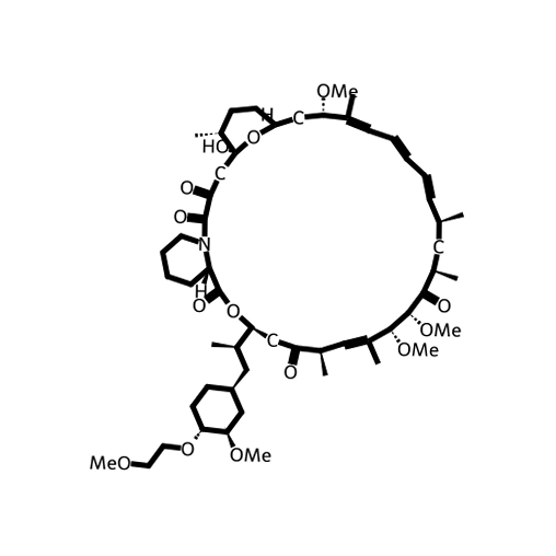 COCCO[C@@H]1CC[C@@H](C[C@@H](C)[C@@H]2CC(=O)[C@H](C)/C=C(\C)[C@@H](OC)[C@@H](OC)C(=O)[C@H](C)C[C@H](C)/C=C/C=C/C=C(\C)[C@@H](OC)C[C@@H]3CC[C@@H](C)[C@](O)(CC(=O)C(=O)N4CCCC[C@H]4C(=O)O2)O3)C[C@H]1OC